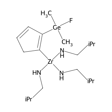 CC(C)C[NH][Zr]([NH]CC(C)C)([NH]CC(C)C)[C]1=[C]([Ge]([CH3])([CH3])[F])C=CC1